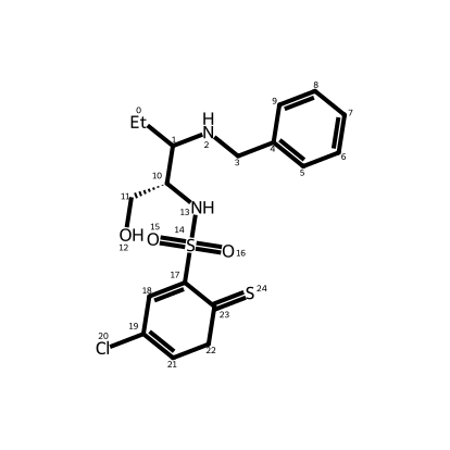 CCC(NCc1ccccc1)[C@@H](CO)NS(=O)(=O)C1=CC(Cl)=CCC1=S